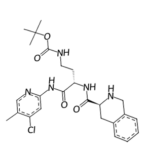 Cc1cnc(NC(=O)[C@H](CCNC(=O)OC(C)(C)C)NC(=O)[C@@H]2Cc3ccccc3CN2)cc1Cl